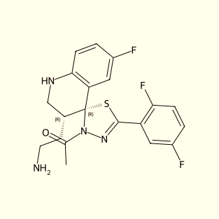 CC(=O)N1N=C(c2cc(F)ccc2F)S[C@]12c1cc(F)ccc1NC[C@H]2CCN